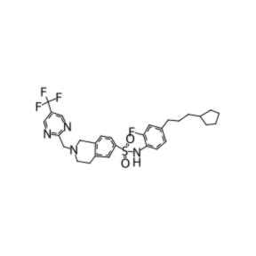 O=S(=O)(Nc1ccc(CCCC2CCCC2)cc1F)c1ccc2c(c1)CCN(Cc1ncc(C(F)(F)F)cn1)C2